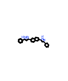 c1ccc(-c2cc(-c3ccc4cc(-c5cc(-c6ccccc6)[nH]n5)ccc4c3)[nH]n2)cc1